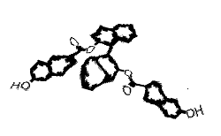 O=C(Oc1cc(-c2c(OC(=O)c3ccc4cc(O)ccc4c3)ccc3ccccc23)c2ccccc2c1)c1ccc2cc(O)ccc2c1